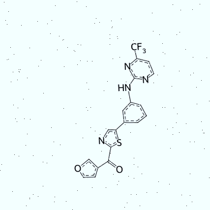 O=C(c1ccoc1)c1ncc(-c2cccc(Nc3nccc(C(F)(F)F)n3)c2)s1